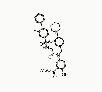 COC(=O)c1cc(N(Cc2ccc(N3CCCCC3)cc2)C(=O)CNS(=O)(=O)c2ccc(-c3ccccc3)c(C)c2)ccc1O